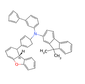 CC1(C)c2ccccc2-c2ccc(N(c3cccc(-c4ccccc4)c3)C3C=CC(C4C=CC=C5Oc6ccccc6[C@H]54)=CC3)cc21